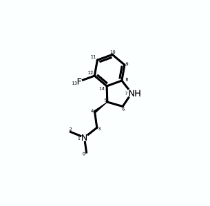 CN(C)CC[C@@H]1CNc2cccc(F)c21